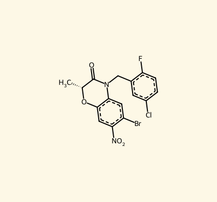 C[C@H]1Oc2cc([N+](=O)[O-])c(Br)cc2N(Cc2cc(Cl)ccc2F)C1=O